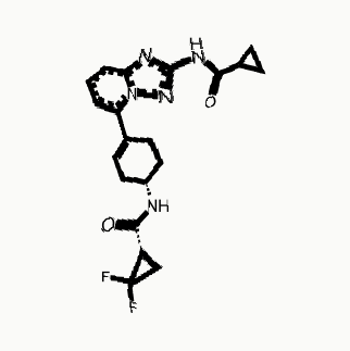 O=C(Nc1nc2cccc(C3=CC[C@@H](NC(=O)[C@@H]4CC4(F)F)CC3)n2n1)C1CC1